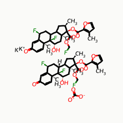 Cc1ccoc1C(=O)O[C@]1(C(=O)OCF)[C@H](C)CC2C3C[C@H](F)C4=CC(=O)C=C[C@]4(C)[C@@]3(F)[C@@H](O)C[C@@]21C.Cc1ccoc1C(=O)O[C@]1(C(=O)OCF)[C@H](C)CC2[C@H]3C[C@H](F)C4=CC(=O)C=C[C@]4(C)[C@@]3(F)[C@@H](O)C[C@@]21C.O=C([O-])[O-].[K+].[K+]